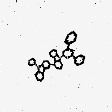 c1ccc(-c2cc(-c3ccccc3)cc(-n3c4ccccc4c4c(-c5ccc6c(c5)c5ccccc5n6-c5ccccc5)cccc43)c2)cc1